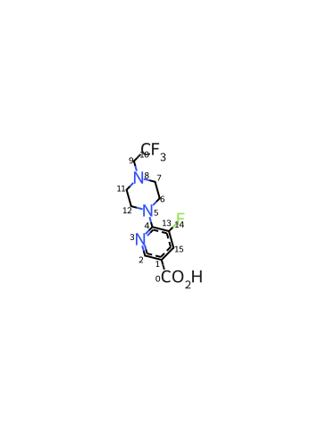 O=C(O)c1cnc(N2CCN(CC(F)(F)F)CC2)c(F)c1